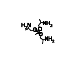 CC(N)CO[Si](C)(OCC(C)N)OCC(C)N